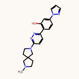 CN1CCC2(CCN(c3ccc(-c4ccc(-n5cccn5)cc4O)nn3)C2)C1